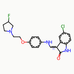 O=C1Nc2ccc(Cl)cc2/C1=C\Nc1ccc(OCCN2CCC(F)C2)cc1